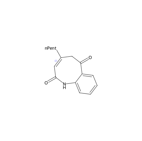 CCCCC/C1=C/C(=O)Nc2ccccc2C(=O)C1